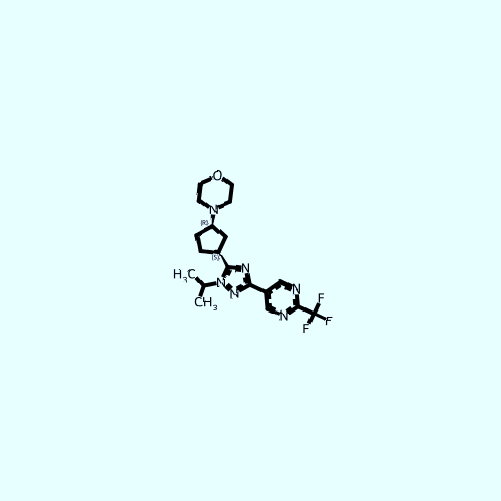 CC(C)n1nc(-c2cnc(C(F)(F)F)nc2)nc1[C@H]1CC[C@@H](N2CCOCC2)C1